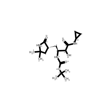 CC1(C)C[C@@H](C[C@H](NC(=O)OC(C)(C)C)C(O)C(=O)NC2CC2)C(=O)N1